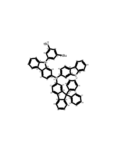 CC(C)(C)c1cc(-n2c3ccccc3c3ccc(N(c4ccc5c(c4)C(c4ccccc4)(c4ccccc4)c4ccccc4-5)c4ccc5c(c4)sc4ccccc45)cc32)cc(C(C)(C)C)c1